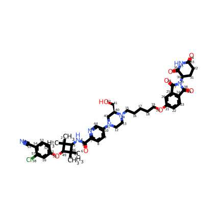 CC1(C)C(NC(=O)c2ccc(N3CCN(CCCCCOc4ccc5c(c4)C(=O)N(C4CCC(=O)NC4=O)C5=O)[C@H](CO)C3)cn2)C(C)(C)C1Oc1ccc(C#N)c(Cl)c1